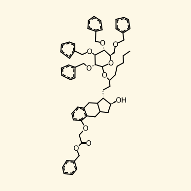 CCCCCC(CC[C@H]1C2Cc3cccc(OCC(=O)OCc4ccccc4)c3CC2C[C@@H]1O)OC1O[C@H](COCc2ccccc2)[C@@H](OCc2ccccc2)[C@H](OCc2ccccc2)[C@H]1OCc1ccccc1